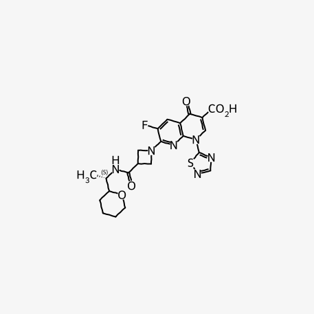 C[C@H](NC(=O)C1CN(c2nc3c(cc2F)c(=O)c(C(=O)O)cn3-c2ncns2)C1)C1CCCCO1